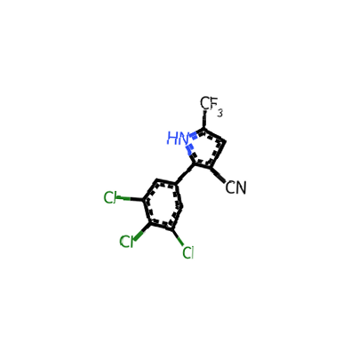 N#Cc1cc(C(F)(F)F)[nH]c1-c1cc(Cl)c(Cl)c(Cl)c1